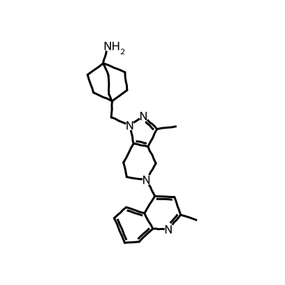 Cc1cc(N2CCc3c(c(C)nn3CC34CCC(N)(CC3)CC4)C2)c2ccccc2n1